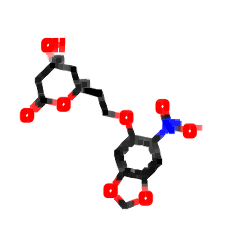 O=C1C[C@H](O)C[C@@H](CCOc2cc3c(cc2[N+](=O)[O-])OCO3)O1